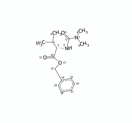 CC(C)[C@H](NC(=O)N(C)C)C(=O)OCc1ccccc1